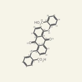 O=C(O)c1ccccc1Sc1cccc2c1C(=O)c1cccc(Sc3ccccc3C(=O)O)c1C2=O